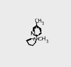 Cc1ccc([N+]2(C)C=CCCC2)nc1